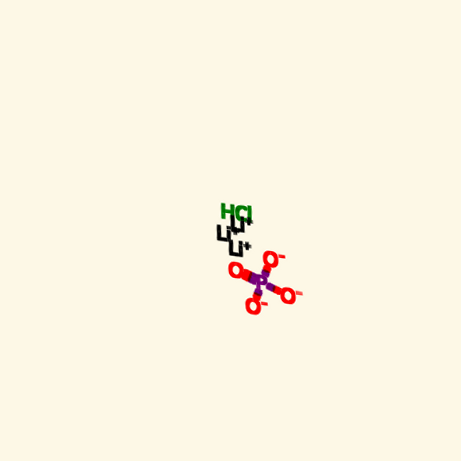 Cl.O=P([O-])([O-])[O-].[Li+].[Li+].[Li+]